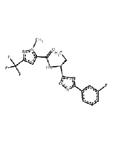 CC[C@H](NC(=O)c1cc(C(F)(F)F)nn1C)c1nc(-c2cccc(F)c2)no1